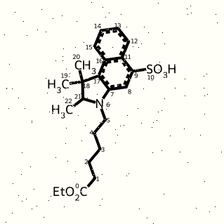 CCOC(=O)CCCCCN1c2cc(S(=O)(=O)O)c3ccccc3c2C(C)(C)C1C